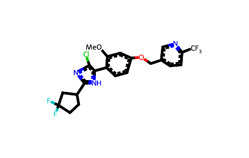 COc1cc(OCc2ccc(C(F)(F)F)nc2)ccc1-c1[nH]c(C2CCC(F)(F)C2)nc1Cl